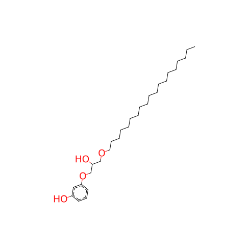 CCCCCCCCCCCCCCCCCCCOCC(O)COc1cccc(O)c1